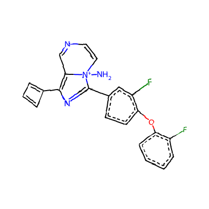 N[N+]12C=CN=CC1=C(C1=CC=C1)N=C2c1ccc(Oc2ccccc2F)c(F)c1